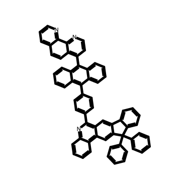 c1ccc(C2(c3ccccc3)c3ccccc3-c3cc4c(-c5ccc(-c6c7ccccc7c(-c7ccnc8c7ccc7cccnc78)c7ccccc67)cc5)nc5ccccc5c4cc32)cc1